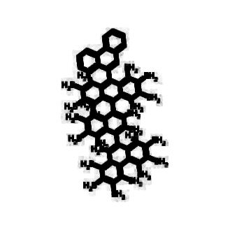 Bc1c(B)c(B)c2c(-c3c(B)c4c(B)c(B)c(B)c(B)c4c4c(B)c(B)c(B)c(B)c34)c(B)c(B)c(-c3c4c(B)c(B)c(B)c(B)c4c(-c4cc5ccccc5c5ccccc45)c4c(B)c(B)c(B)c(B)c34)c2c1B